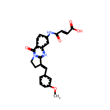 COc1cccc(C=C2CCn3c2nc2cc(NC(=O)/C=C/C(=O)O)ccc2c3=O)c1